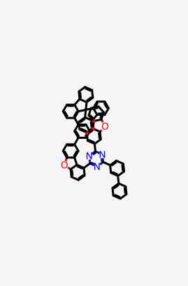 c1ccc(-c2cccc(-c3nc(-c4ccc5c(c4)oc4ccccc45)nc(-c4cccc5oc6ccc(-c7cccc(-c8cccc9c8C8(c%10ccccc%10-c%10ccccc%108)c8ccccc8-9)c7)cc6c45)n3)c2)cc1